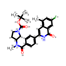 Cc1cc(F)cc2c(=O)[nH]c(-c3ccc(C(=O)N(C)C4CCN(C(=O)OC(C)(C)C)C4)cc3)cc12